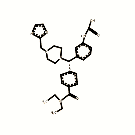 CCN(CC)C(=O)c1ccc([C@@H](c2cccc(NC(=O)O)c2)N2CCN(Cc3nccs3)CC2)cc1